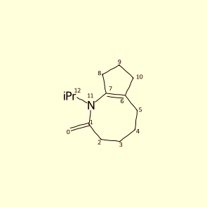 C=C1CCCCC2=C(CCC2)N1C(C)C